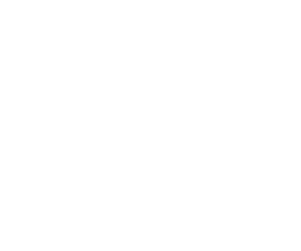 CCC(OC(=O)c1ccccc1)C(O)CO